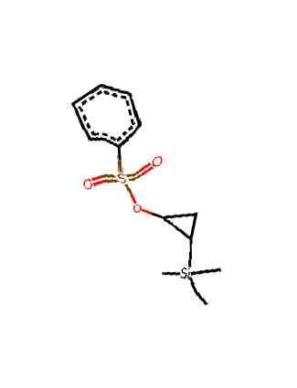 C[Si](C)(C)C1CC1OS(=O)(=O)c1ccccc1